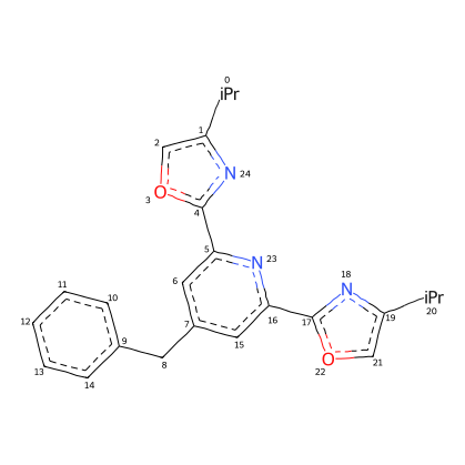 CC(C)c1coc(-c2cc(Cc3ccccc3)cc(-c3nc(C(C)C)co3)n2)n1